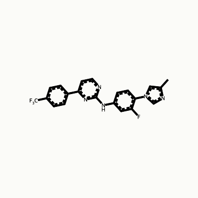 Cc1cn(-c2ccc(Nc3nccc(-c4ccc(C(F)(F)F)cc4)n3)cc2F)cn1